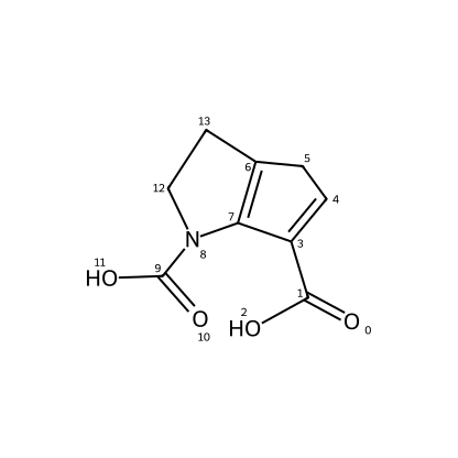 O=C(O)C1=CCC2=C1N(C(=O)O)CC2